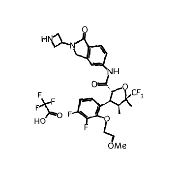 COCCOc1c([C@H]2[C@H](C(=O)Nc3ccc4c(c3)CN(C3CNC3)C4=O)O[C@@](C)(C(F)(F)F)[C@H]2C)ccc(F)c1F.O=C(O)C(F)(F)F